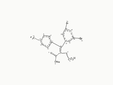 COC(=O)C(CC(=O)O)=C(c1ccc(C(F)(F)F)cc1)c1cc(Br)cc(Br)c1